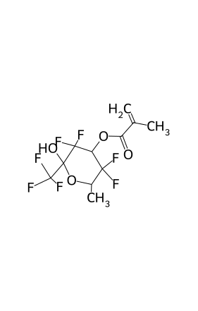 C=C(C)C(=O)OC1C(F)(F)C(C)OC(O)(C(F)(F)F)C1(F)F